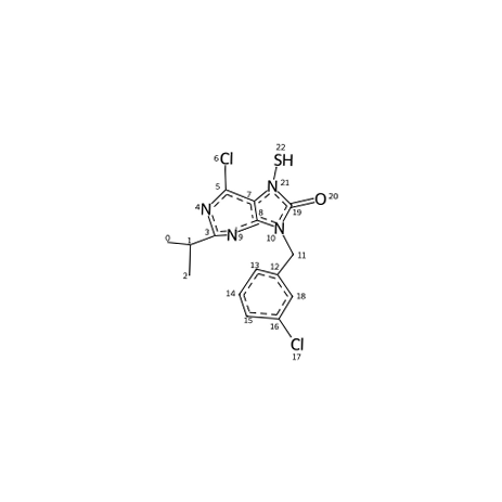 CC(C)c1nc(Cl)c2c(n1)n(Cc1cccc(Cl)c1)c(=O)n2S